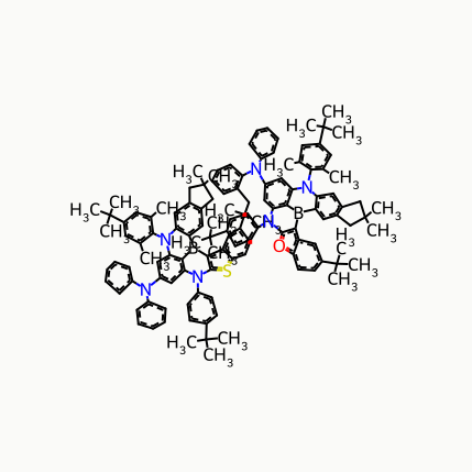 Cc1cc(C(C)(C)C)cc(C)c1N1c2cc3c(cc2B2c4c(cc(N(c5ccccc5)c5ccccc5CC(C)(C)c5ccc6sc7c(c6c5)B5c6cc8c(cc6N(c6c(C)cc(C(C)(C)C)cc6C)c6cc(N(c9ccccc9)c9ccccc9)cc(c65)N7c5ccc(C(C)(C)C)cc5)CC(C)(C)C8)cc41)N(c1ccc(C(C)(C)C)cc1)c1oc4ccc(C(C)(C)C)cc4c12)CC(C)(C)C3